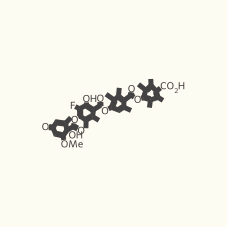 COC1=CC(=O)C=C(C)C1(O)C(=O)Oc1c(C)c(C)c(C(=O)Oc2cc(C)c(C(=O)Oc3c(C)c(C)c(C(=O)O)c(C)c3C)c(C)c2C)c(O)c1F